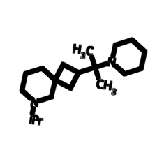 CC(C)N1CCCC2(CC(C(C)(C)N3CCCCC3)C2)C1